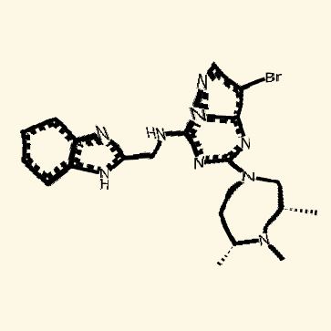 C[C@@H]1CN(c2nc(NCc3nc4ccccc4[nH]3)n3ncc(Br)c3n2)C[C@H](C)N1C